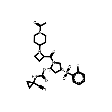 CC(=O)N1CCC(N2CCC2C(=O)N2C[C@H](S(=O)(=O)c3ccccc3Cl)C[C@@H]2OC(=O)NC2(C#N)CC2)CC1